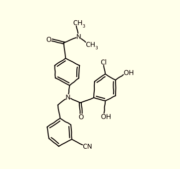 CN(C)C(=O)c1ccc(N(Cc2cccc(C#N)c2)C(=O)c2cc(Cl)c(O)cc2O)cc1